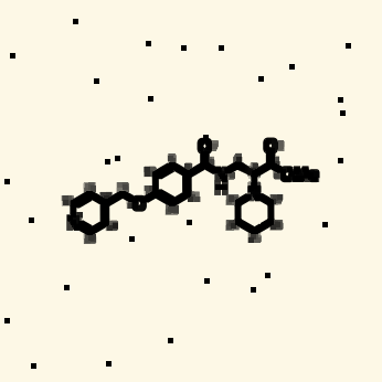 COC(=O)[C@H](CNC(=O)c1ccc(OCc2ccncc2)cc1)N1CCCCC1